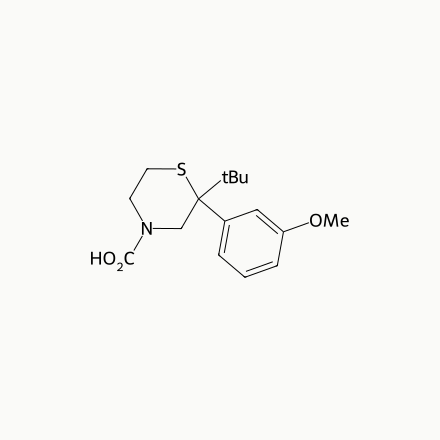 COc1cccc(C2(C(C)(C)C)CN(C(=O)O)CCS2)c1